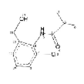 CC(C)C(=O)Nc1c(Cl)cccc1CO